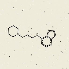 c1cc(NCCCN2CCCCC2)c2sccc2n1